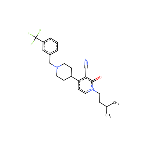 CC(C)CCn1ccc(C2CCN(Cc3cccc(C(F)(F)F)c3)CC2)c(C#N)c1=O